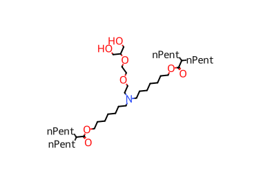 CCCCCC(CCCCC)C(=O)OCCCCCCCN(CCCCCCCOC(=O)C(CCCCC)CCCCC)CCOCCOC(CO)CO